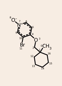 CC1(COc2cc[n+]([O-])cc2Br)CCCCC1